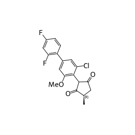 COc1cc(-c2ccc(F)cc2F)cc(Cl)c1C1C(=O)C[C@@H](C)C1=O